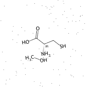 CO.N[C@@H](CS)C(=O)O